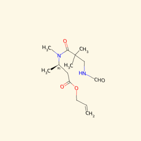 C=CCOC(=O)C[C@@H](C)N(C)C(=O)C(C)(C)CNC=O